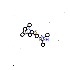 c1ccc(C2=NC(c3ccc4c(c3)sc3cc(-n5c6ccccc6c6ccc7c8ccccc8n(-c8ccccc8)c7c65)ccc34)=NC(c3ccccc3)N2)cc1